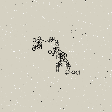 CC1(C)CCC(CN2CCN(c3ccc(C(=O)NS(=O)(=O)c4ccc(NCC5CCN(Cc6cn(CCCC#Cc7cccc8c7C(=O)N(C7CCC(=O)NC7=O)C8=O)nn6)CC5)c([N+](=O)[O-])c4)c(Oc4cnc5[nH]ccc5c4)c3)CC2)=C(c2ccc(Cl)cc2)C1